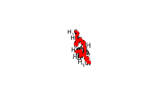 Cc1cccc(/C=N/Nc2cc(N3CCOCC3)nc(OCCc3ccc(NC(=O)CCCNC(=O)CC[C@H](NC(=O)[C@@H]4C[C@@H](O)CN4C(=O)[C@@H](NC(=O)C4(F)CC4)C(C)(C)C)c4ccc(-c5scnc5C)cc4)cc3)n2)c1